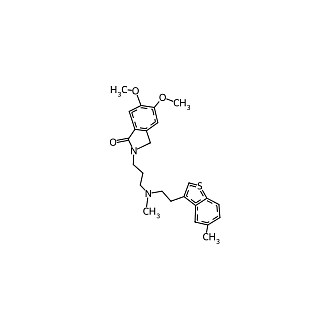 COc1cc2c(cc1OC)C(=O)N(CCCN(C)CCc1csc3ccc(C)cc13)C2